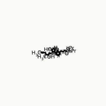 CC#CC[C@H](C)[C@H](O)/C=C/[C@@H]1[C@H]2c3cccc(CCCC(=O)N(CCC)CCC)c3O[C@H]2C[C@H]1O